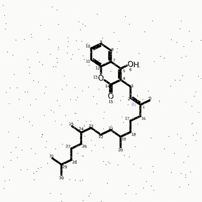 C/C(=C\Cc1c(O)c2ccccc2oc1=O)CCCC(C)CCCC(C)CCCC(C)C